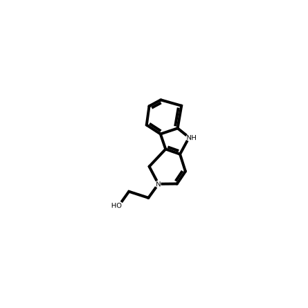 OCCN1C=Cc2[nH]c3ccccc3c2C1